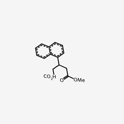 COC(=O)CC(CC(=O)O)c1cccc2ccccc12